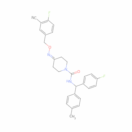 Cc1ccc(C(NC(=O)N2CCC(=NOCc3ccc(F)c(C#N)c3)CC2)c2ccc(F)cc2)cc1